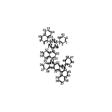 c1ccc(-c2nc(-c3cccc4ccccc34)nc(-c3ccc(-n4c5ccccc5c5cc6c7c8ccccc8ccc7n(-c7ccccc7)c6cc54)c4ccccc34)n2)cc1